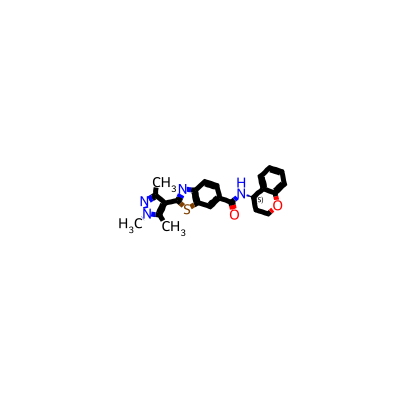 Cc1nn(C)c(C)c1-c1nc2ccc(C(=O)N[C@H]3CCOc4ccccc43)cc2s1